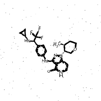 C[C@H]1CCOC[C@@H]1n1nc(Nc2ccc(C(NC3CC3)C(F)(F)F)cc2)c2c(=O)[nH]ccc21